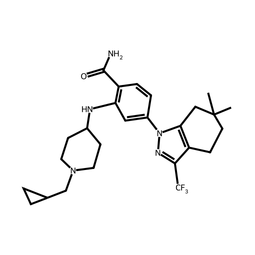 CC1(C)CCc2c(C(F)(F)F)nn(-c3ccc(C(N)=O)c(NC4CCN(CC5CC5)CC4)c3)c2C1